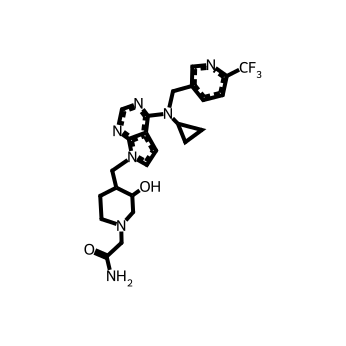 NC(=O)CN1CCC(Cn2ccc3c(N(Cc4ccc(C(F)(F)F)nc4)C4CC4)ncnc32)C(O)C1